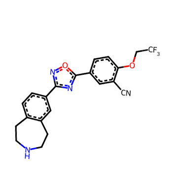 N#Cc1cc(-c2nc(-c3ccc4c(c3)CCNCC4)no2)ccc1OCC(F)(F)F